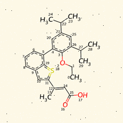 CCOc1c(-c2cccc3cc(C(C)=CC(=O)O)sc23)cc(C(C)C)cc1C(C)C